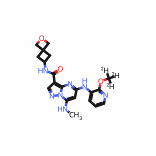 [2H]C([2H])([2H])Oc1ncccc1Nc1cc(NC)n2ncc(C(=O)NC3CC4(COC4)C3)c2n1